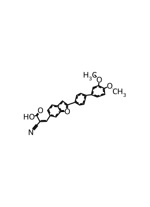 COc1ccc(-c2ccc(-c3cc4ccc(C=C(C#N)C(=O)O)cc4o3)cc2)cc1OC